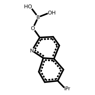 CC(C)c1ccc2nc(OB(O)O)ccc2c1